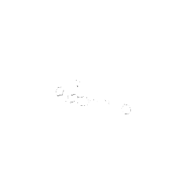 N#Cc1c(-c2ccco2)nn2ccc(N3CCN(CCc4ccccc4)CC3)nc12